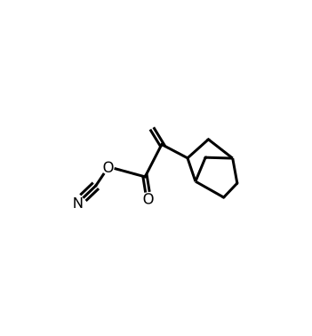 C=C(C(=O)OC#N)C1CC2CCC1C2